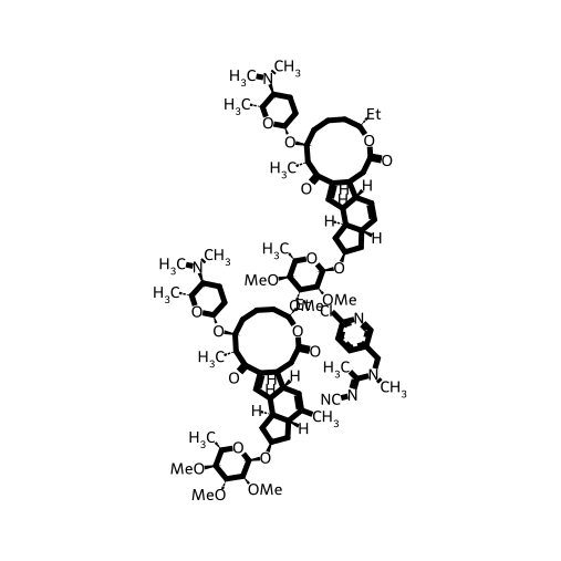 C/C(=N\C#N)N(C)Cc1ccc(Cl)nc1.CC[C@H]1CCC[C@H](O[C@H]2CC[C@H](N(C)C)[C@@H](C)O2)[C@@H](C)C(=O)C2=C[C@@H]3[C@@H](C=C(C)[C@@H]4C[C@@H](O[C@@H]5O[C@@H](C)[C@H](OC)[C@@H](OC)[C@H]5OC)C[C@@H]34)[C@@H]2CC(=O)O1.CC[C@H]1CCC[C@H](O[C@H]2CC[C@H](N(C)C)[C@@H](C)O2)[C@@H](C)C(=O)C2=C[C@@H]3[C@@H](C=C[C@@H]4C[C@@H](O[C@@H]5O[C@@H](C)[C@H](OC)[C@@H](OC)[C@H]5OC)C[C@@H]34)[C@@H]2CC(=O)O1